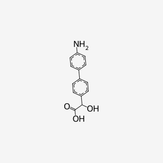 Nc1ccc(-c2ccc(C(O)C(=O)O)cc2)cc1